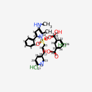 CNc1cc(-c2ccccc2)n(S(=O)(=O)CC=Cc2cccnc2)c1C.Cl.Cl.O=C(O)c1cccc(C(=O)O)c1